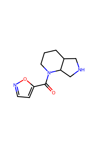 O=C(c1ccno1)N1CCCC2CNCC21